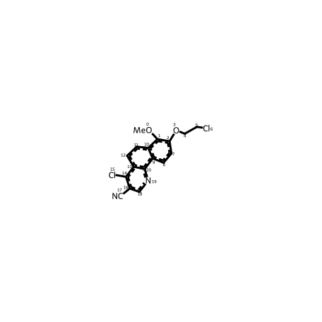 COc1c(OCCCl)ccc2c1ccc1c(Cl)c(C#N)cnc12